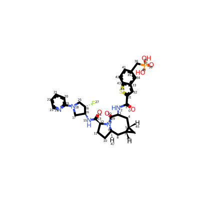 O=C(N[C@H]1C[C@@H]2C[C@@H]2C[C@H]2CC[C@@H](C(=O)N[C@H]3CN(c4ccccn4)C[C@@H]3F)N2C1=O)c1cc2cc(CP(=O)(O)O)ccc2s1